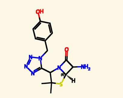 CC1(C)S[C@@H]2C(N)C(=O)N2C1c1nnnn1Cc1ccc(O)cc1